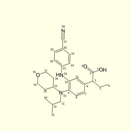 CCC(C(=O)O)c1ccc(N(CC(C)C)C2CCOCC2)c(Nc2ccc(C#N)cc2)c1